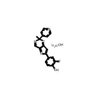 CC1(c2ccncc2)N=CC2=NC(c3ccc(O)c(F)c3)=CC2=N1.Cl.O